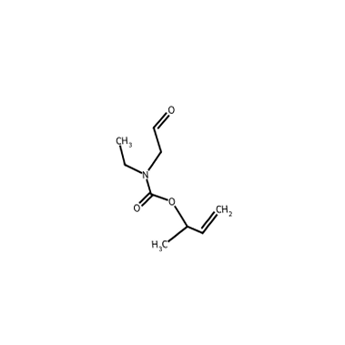 C=CC(C)OC(=O)N(CC)CC=O